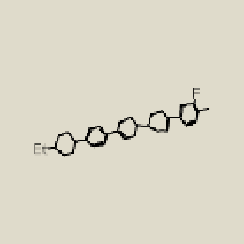 CCC1CCC(c2ccc(C3=CCC(C4CCC(c5ccc(C)c(F)c5)CC4)CC3)cc2)CC1